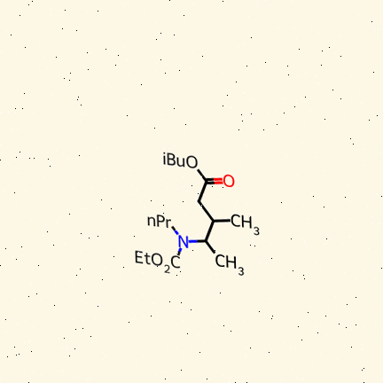 CCCN(C(=O)OCC)C(C)C(C)CC(=O)OCC(C)C